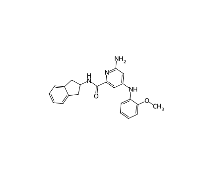 COc1ccccc1Nc1cc(N)nc(C(=O)NC2Cc3ccccc3C2)c1